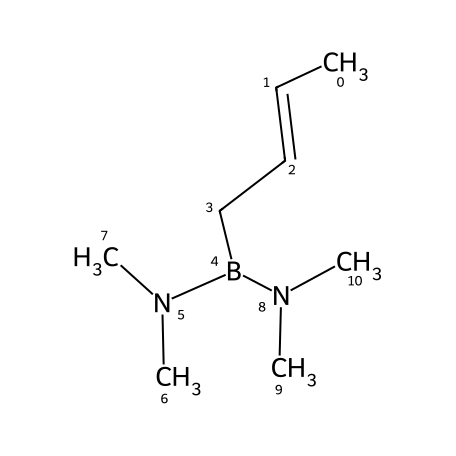 CC=CCB(N(C)C)N(C)C